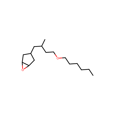 CCCCCCOCCC(C)CC1CC2OC2C1